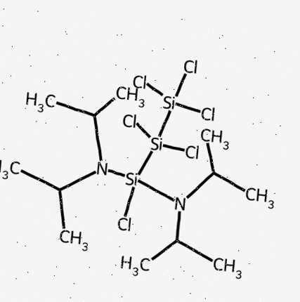 CC(C)N(C(C)C)[Si](Cl)(N(C(C)C)C(C)C)[Si](Cl)(Cl)[Si](Cl)(Cl)Cl